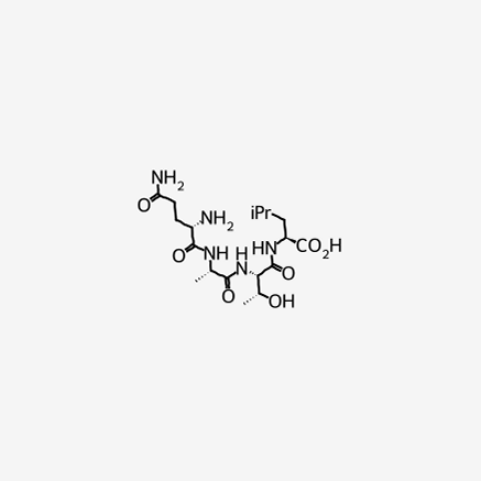 CC(C)C[C@H](NC(=O)[C@@H](NC(=O)[C@H](C)NC(=O)[C@@H](N)CCC(N)=O)[C@@H](C)O)C(=O)O